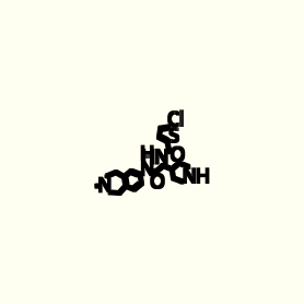 CN1CCc2ccc(NC(=O)C(NC(=O)c3ccc(Cl)s3)C3CCNCC3)cc2CC1